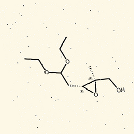 CCOC(C[C@H]1O[C@]1(C)CO)OCC